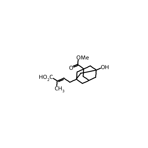 COC(=O)C12CC3CC(O)(CC(CC=C(C)C(=O)O)(C3)C1)C2